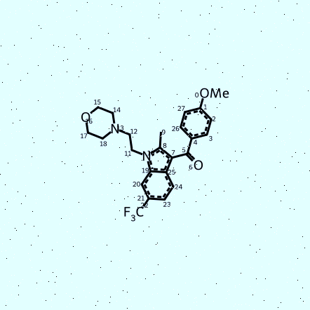 COc1ccc(C(=O)c2c(C)n(CCN3CCOCC3)c3cc(C(F)(F)[18F])ccc23)cc1